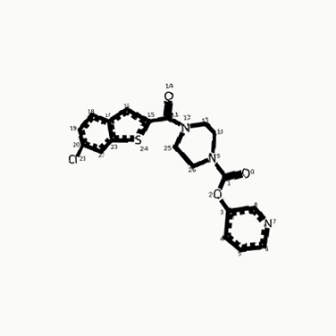 O=C(Oc1cccnc1)N1CCN(C(=O)c2cc3ccc(Cl)cc3s2)CC1